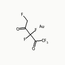 O=C(CF)C(F)(F)C(=O)C(F)(F)F.[Au]